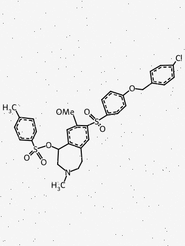 COc1cc2c(cc1S(=O)(=O)c1ccc(OCc3ccc(Cl)cc3)cc1)CCN(C)CC2OS(=O)(=O)c1ccc(C)cc1